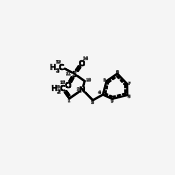 C=CN(Cc1ccccc1)CS(C)(=O)=O